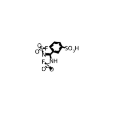 O=S(=O)(F)/N=C(/NS(=O)(=O)F)c1cccc(S(=O)(=O)O)c1